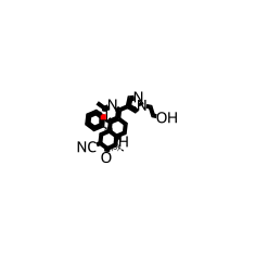 Cc1nc(-c2cnn(CCO)c2)c2c(n1)[C@]1(c3ccccc3)CC(C#N)C(=O)[C@@H](C)[C@@H]1CC2